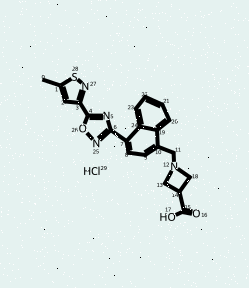 Cc1cc(-c2nc(-c3ccc(CN4CC(C(=O)O)C4)c4ccccc34)no2)ns1.Cl